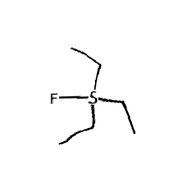 CCS(F)(CC)CC